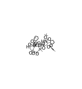 CC#CC(=O)O[C@@H](C(=O)O[C@H]1C[C@@]2(O)[C@@H](OC(=O)c3ccccc3)[C@@H]3[C@]4(OC(C)=O)CO[C@@H]4C[C@H](OC)[C@@]3(C)C(=O)[C@H](OC)C(=C1C)C2(C)C)[C@@H](NC(=O)OC(C)(C)C)c1ccccc1